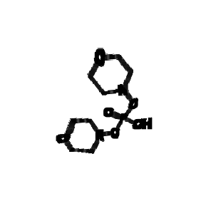 O=P(O)(ON1CCOCC1)ON1CCOCC1